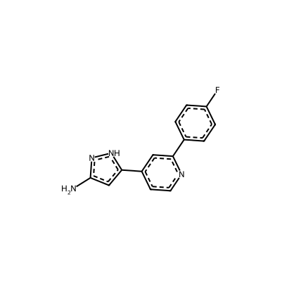 Nc1cc(-c2ccnc(-c3ccc(F)cc3)c2)[nH]n1